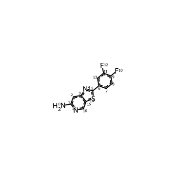 Nc1cc2nc(-c3ccc(F)c(F)c3)sc2cn1